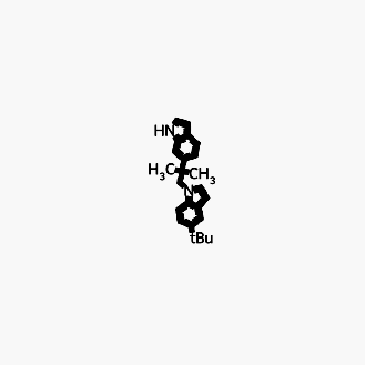 CC(C)(C)c1ccc2c(ccn2CC(C)(C)c2ccc3cc[nH]c3c2)c1